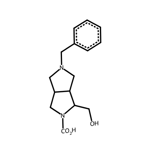 O=C(O)N1CC2CN(Cc3ccccc3)CC2C1CO